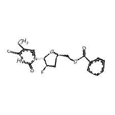 Cc1cn([C@@H]2O[C@@H](COC(=O)c3ccccc3)C[C@H]2F)c(=O)[nH]c1=O